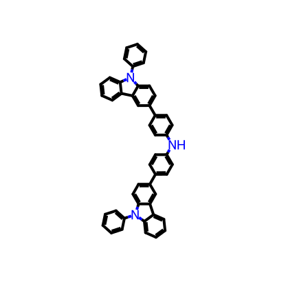 c1ccc(-n2c3ccccc3c3cc(-c4ccc(Nc5ccc(-c6ccc7c(c6)c6ccccc6n7-c6ccccc6)cc5)cc4)ccc32)cc1